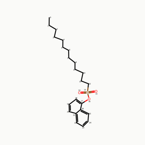 CCCCCCCCCCCCCS(=O)(=O)Oc1cccc2ccccc12